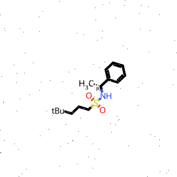 C[C@@H](NS(=O)(=O)CCCC(C)(C)C)c1ccccc1